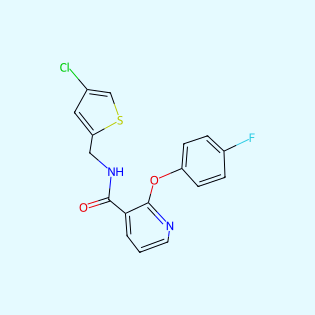 O=C(NCc1cc(Cl)cs1)c1cccnc1Oc1ccc(F)cc1